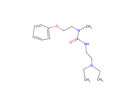 CCN(CC)CCNC(=O)N(C)CCOc1ccccc1